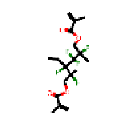 C=C(C)C(=O)OCC(C)(F)C(F)(F)C(F)(CC)C(C)(F)COC(=O)C(=C)C